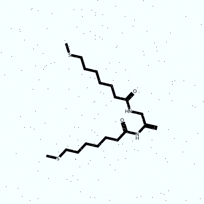 C=C(CNC(=O)CCCCCCSC)NC(=O)CCCCCCSC